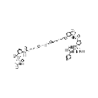 N=C(NC(=N)C1(Nc2cccc(C(=O)N[C@H]3CCOc4ccc(OCCCCCCOCCOCCOCCCCCC(=O)Nc5cccc6c5CN(C5CCC(=O)NC5=O)C6=O)cc43)c2)CCNCC1)c1ccncc1